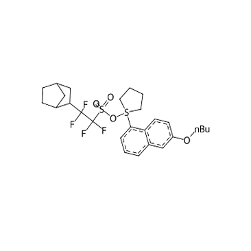 CCCCOc1ccc2c(S3(OS(=O)(=O)C(F)(F)C(F)(F)C4CC5CCC4C5)CCCC3)cccc2c1